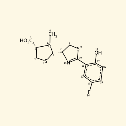 CN1[C@@H](C(=O)O)CS[C@H]1C1CSC(c2cc(F)ccc2O)=N1